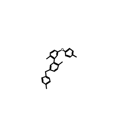 Cc1ccc(Cc2ccc(C)c(-c3cc(Oc4ccc(C)cc4)ccc3C)c2)cc1